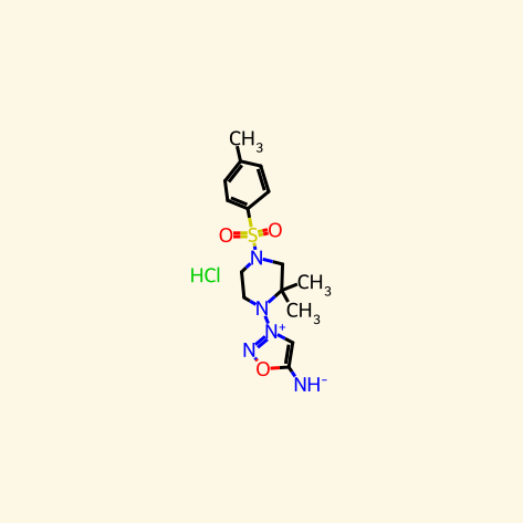 Cc1ccc(S(=O)(=O)N2CCN([n+]3cc([NH-])on3)C(C)(C)C2)cc1.Cl